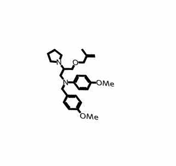 C=C(C)COCC(CN(Cc1ccc(OC)cc1)c1ccc(OC)cc1)N1CCCC1